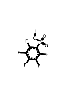 O=S(=O)(OI)c1c(F)c(F)c(F)c(F)c1F